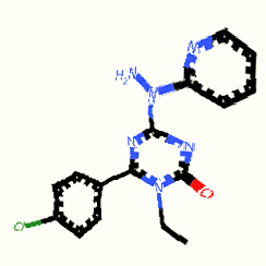 CCn1c(-c2ccc(Cl)cc2)nc(N(N)c2ccccn2)nc1=O